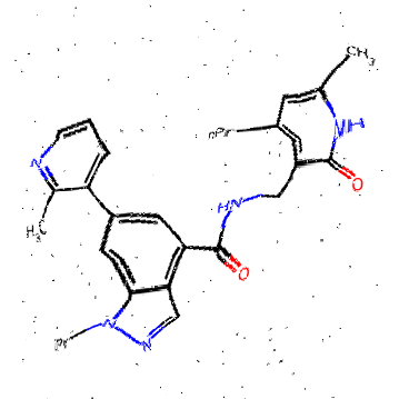 CCCc1cc(C)[nH]c(=O)c1CNC(=O)c1cc(-c2cccnc2C)cc2c1cnn2C(C)C